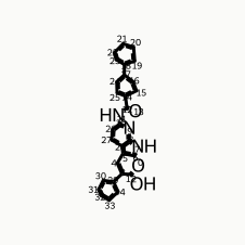 O=C(O)C(=Cc1c[nH]c2nc(NC(=O)c3ccc(-c4ccccc4)cc3)ccc12)c1ccccc1